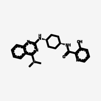 CN(C)c1nc(N[C@H]2CC[C@@H](NC(=O)c3ncccc3O)CC2)nc2ccccc12